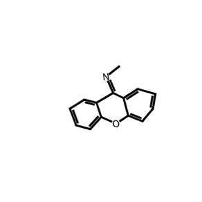 CN=c1c2ccccc2oc2ccccc12